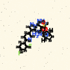 CS(=O)(=O)c1c([C@@H]2C[C@H]3CC[C@@H](C2)N3C(N)=O)nc2c(-c3ccc(-c4ccc(F)cc4F)nc3)cnn2c1N